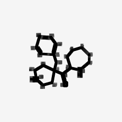 O=C(C1CCCCCN1)C1(Cc2ccccc2)CCNCC1